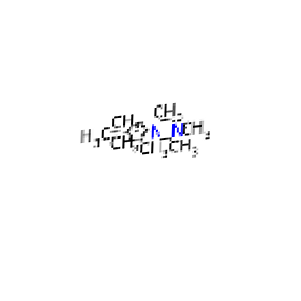 Cc1cc(C(C)(C)C)ccc1N1C[C@H](C)N(C)C[C@H]1C